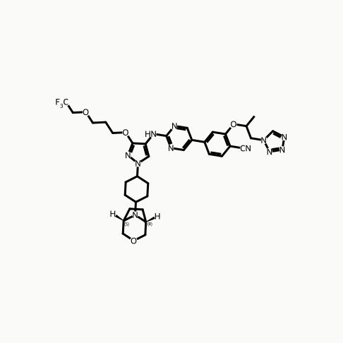 CC(Cn1cnnn1)Oc1cc(-c2cnc(Nc3cn(C4CCC(N5[C@@H]6CC[C@H]5COC6)CC4)nc3OCCCOCC(F)(F)F)nc2)ccc1C#N